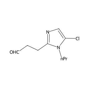 CCCn1c(Cl)cnc1CCC=O